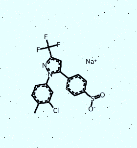 Cc1ccc(-n2nc(C(F)(F)F)cc2-c2ccc(S(=O)[O-])cc2)cc1Cl.[Na+]